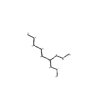 CCCCCC(CCC)CCC